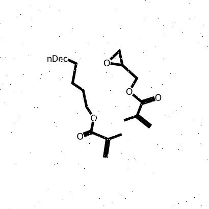 C=C(C)C(=O)OCC1CO1.C=C(C)C(=O)OCCCCCCCCCCCCCC